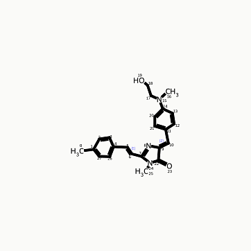 Cc1ccc(/C=C/C2=NC(=C\c3ccc(N(C)CCO)cc3)/C(=O)N2C)cc1